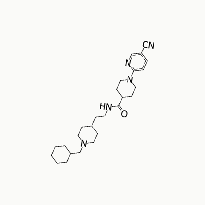 N#Cc1ccc(N2CCC(C(=O)NCCC3CCN(CC4CCCCC4)CC3)CC2)nc1